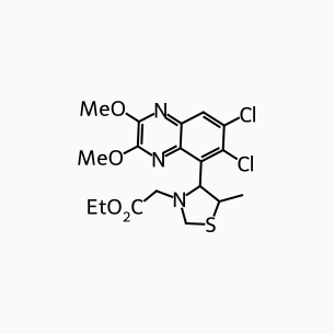 CCOC(=O)CN1CSC(C)C1c1c(Cl)c(Cl)cc2nc(OC)c(OC)nc12